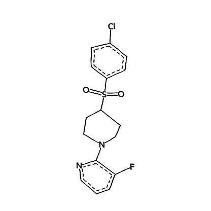 O=S(=O)(c1ccc(Cl)cc1)C1CCN(c2ncccc2F)CC1